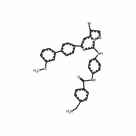 COc1cccc(-c2ccc(-c3cc4c(Br)cnn4c(Nc4ccc(NC(=O)c5ccc(CN)cc5)cc4)n3)cc2)c1